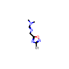 CCc1noc(CN=CN(C)C)n1